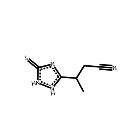 CC(CC#N)c1nc(=S)[nH][nH]1